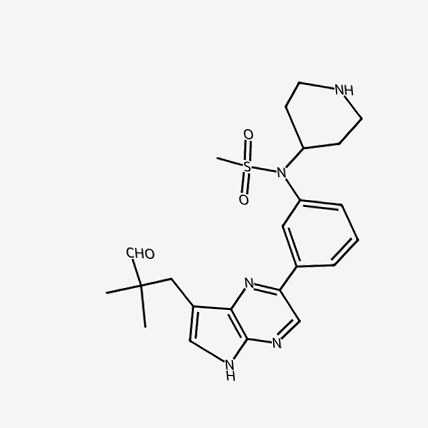 CC(C)(C=O)Cc1c[nH]c2ncc(-c3cccc(N(C4CCNCC4)S(C)(=O)=O)c3)nc12